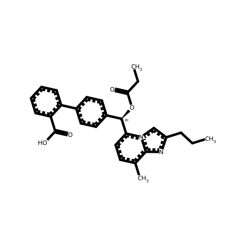 CCCc1cn2c([C@H](OC(=O)CC)c3ccc(-c4ccccc4C(=O)O)cc3)ccc(C)c2n1